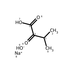 CC(C)C(=O)C(=O)O.[Na+].[OH-]